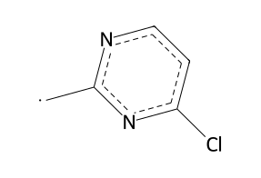 [CH2]c1nccc(Cl)n1